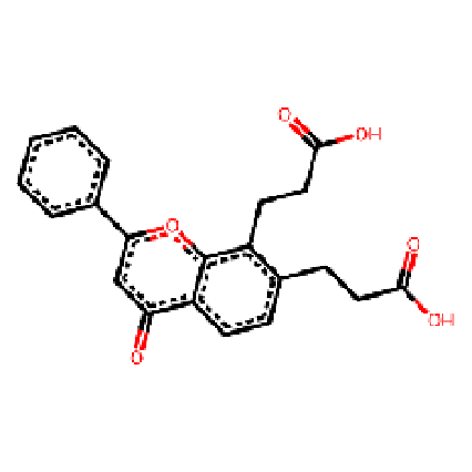 O=C(O)CCc1ccc2c(=O)cc(-c3ccccc3)oc2c1CCC(=O)O